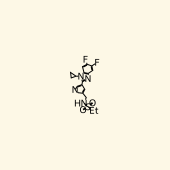 CCS(=O)(=O)NCc1cncc(-c2nc3cc(F)c(F)cc3n2C2CC2)c1